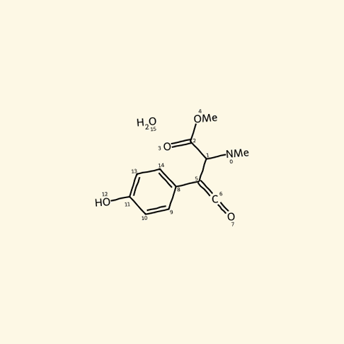 CNC(C(=O)OC)C(=C=O)c1ccc(O)cc1.O